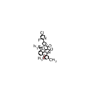 COc1cccc(OC)c1-n1c(-c2cccc(C)c2)nc(=O)c(C(=O)N2CCC(c3ncc(Cl)cc3F)C2)c1O